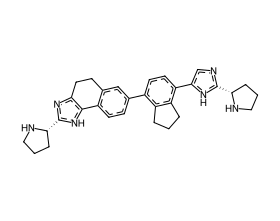 c1cc2c(cc1-c1ccc(-c3cnc([C@@H]4CCCN4)[nH]3)c3c1CCC3)CCc1nc([C@@H]3CCCN3)[nH]c1-2